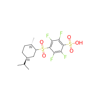 CC(C)[C@H]1CC[C@H](C)C(S(=O)(=O)c2c(F)c(F)c(S(=O)(=O)O)c(F)c2F)C1